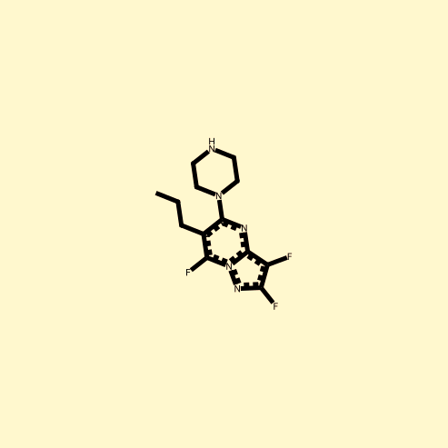 CCCc1c(N2CCNCC2)nc2c(F)c(F)nn2c1F